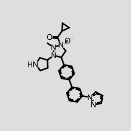 CN1N(C2CCNC2)C(c2ccc(-c3cccc(-n4cccn4)c3)cc2)C[N+]1([O-])C(=O)C1CC1